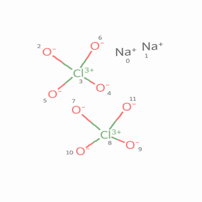 [Na+].[Na+].[O-][Cl+3]([O-])([O-])[O-].[O-][Cl+3]([O-])([O-])[O-]